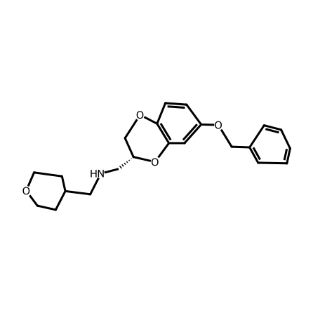 c1ccc(COc2ccc3c(c2)O[C@H](CNCC2CCOCC2)CO3)cc1